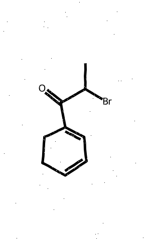 CC(Br)C(=O)C1=CC=CCC1